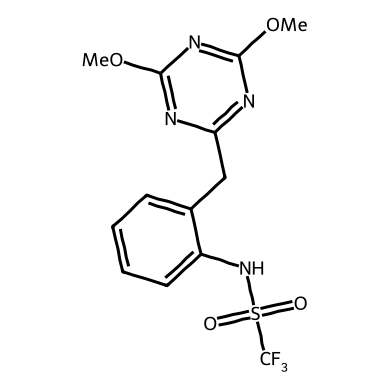 COc1nc(Cc2ccccc2NS(=O)(=O)C(F)(F)F)nc(OC)n1